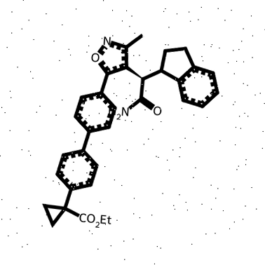 CCOC(=O)C1(c2ccc(-c3ccc(-c4onc(C)c4[C@H](C(N)=O)C4CCc5ccccc54)cc3)cc2)CC1